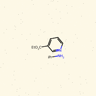 CC(C)N.CCOC(=O)c1cccnc1